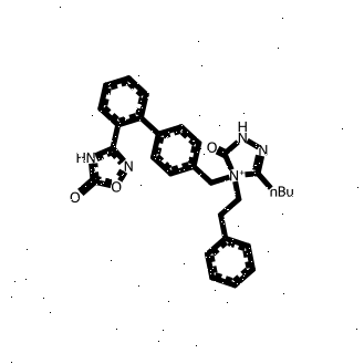 CCCCC1=NNC(=O)[N+]1(CCc1ccccc1)Cc1ccc(-c2ccccc2-c2noc(=O)[nH]2)cc1